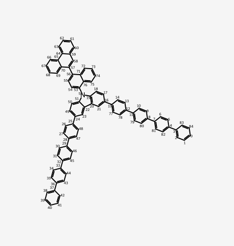 c1ccc(-c2ccc(-c3ccc(-c4ccc(-c5ccc6c(c5)c5cc(-c7ccc(-c8ccc(-c9ccc(-c%10ccccc%10)cc9)cc8)cc7)ccc5n6-c5ccc(-c6cc7ccccc7c7ccccc67)c6ccccc56)cc4)cc3)cc2)cc1